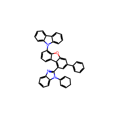 C1=CC(n2c(-c3cc(-c4ccccc4)cc4oc5c(-n6c7ccccc7c7ccccc76)cccc5c34)nc3ccccc32)=CCC1